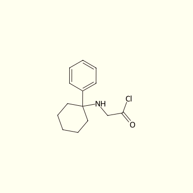 O=C(Cl)CNC1(c2ccccc2)CCCCC1